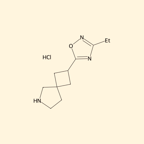 CCc1noc(C2CC3(CCNC3)C2)n1.Cl